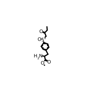 CCC(=O)C[S+]([O-])c1ccc(CC(N)C(=O)OC)cc1